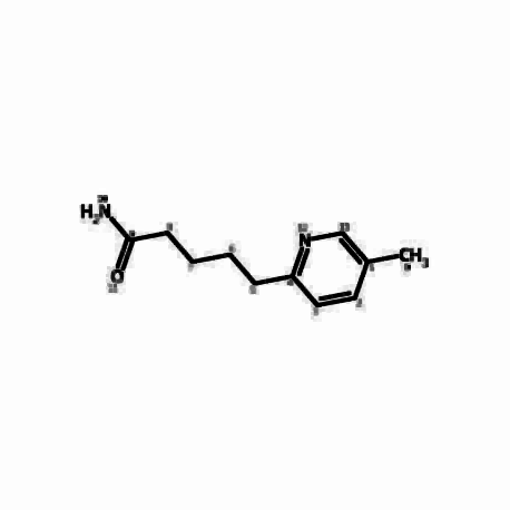 Cc1ccc(CCCCC(N)=O)nc1